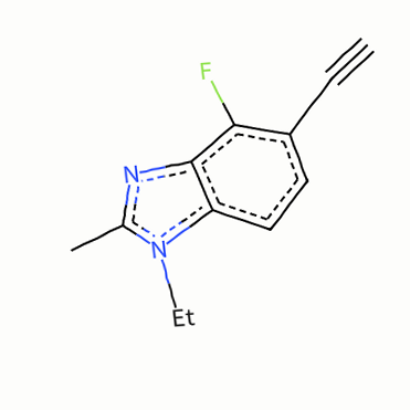 C#Cc1ccc2c(nc(C)n2CC)c1F